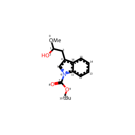 COC(O)Cc1cn(C(=O)OC(C)(C)C)c2ccccc12